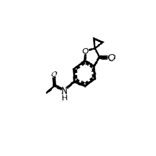 CC(=O)Nc1ccc2c(c1)OC1(CC1)C2=O